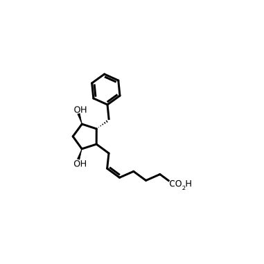 O=C(O)CCC/C=C\CC1[C@@H](Cc2ccccc2)[C@H](O)C[C@@H]1O